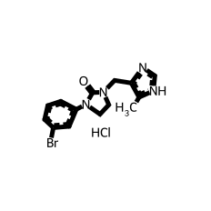 Cc1[nH]cnc1CN1CCN(c2cccc(Br)c2)C1=O.Cl